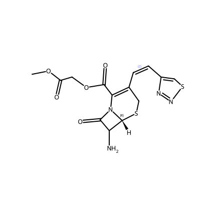 COC(=O)COC(=O)C1=C(/C=C\c2csnn2)CS[C@@H]2C(N)C(=O)N12